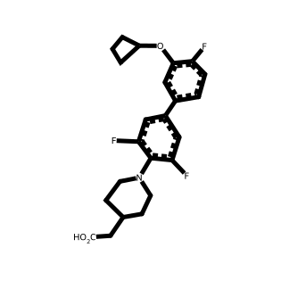 O=C(O)CC1CCN(c2c(F)cc(-c3ccc(F)c(OC4CCC4)c3)cc2F)CC1